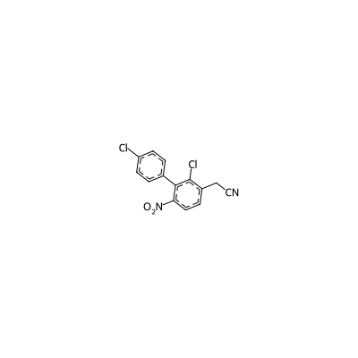 N#CCc1ccc([N+](=O)[O-])c(-c2ccc(Cl)cc2)c1Cl